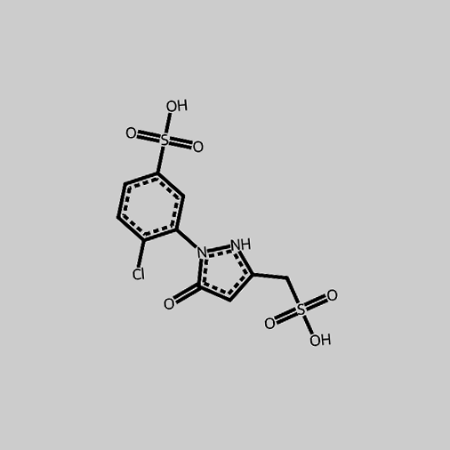 O=c1cc(CS(=O)(=O)O)[nH]n1-c1cc(S(=O)(=O)O)ccc1Cl